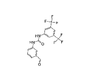 O=Cc1cccc(NC(=O)Nc2cc(C(F)(F)F)cc(C(F)(F)F)c2)c1